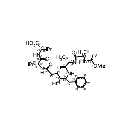 COC(=O)N[C@@H](C)C(=O)N[C@@H](C)C(=O)N[C@@H](Cc1ccccc1)[C@@H](O)CCC(=O)N[C@H](C(=O)N[C@H](C(=O)O)C(C)C)C(C)C